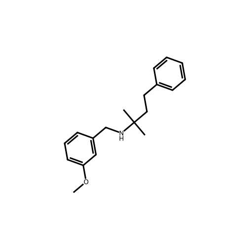 COc1cccc(CNC(C)(C)CCc2ccccc2)c1